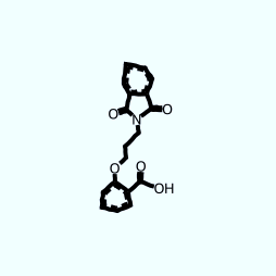 O=C(O)c1ccccc1OCCCN1C(=O)c2ccccc2C1=O